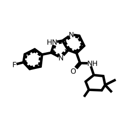 CC1CC(NC(=O)c2ccnc3[nH]c(-c4ccc(F)cc4)nc23)CC(C)(C)C1